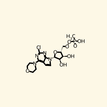 CP(=O)(O)OOC[C@H]1O[C@@H](n2ccc3c(N4CCOCC4)nc(Cl)nc32)[C@H](O)[C@@H]1O